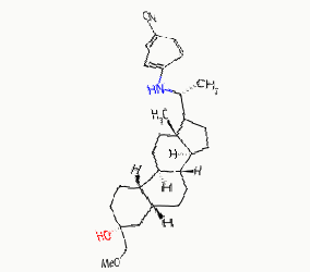 COC[C@@]1(O)CC[C@H]2[C@H](CC[C@@H]3[C@@H]2CC[C@]2(C)C([C@@H](C)Nc4ccc(C#N)cc4)CC[C@@H]32)C1